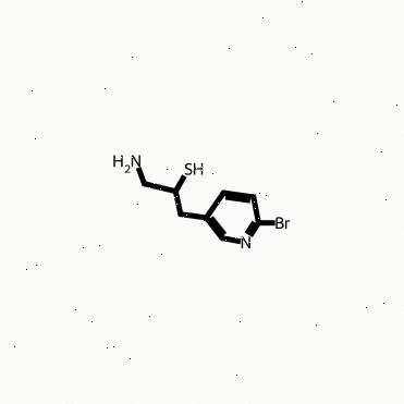 NCC(S)Cc1ccc(Br)nc1